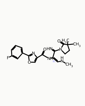 CN/C=C(/NC(=O)c1coc(-c2cccc(F)c2)n1)C(=N)N1CCC(C)(C)C1=O